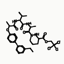 CCc1cccc(-c2ccc(OC(C)C(=O)NC(C(=O)NC(C)C(=O)N3CCCC(C(=O)OCC(Cl)(Cl)Cl)N3)C(C)C)cc2)c1